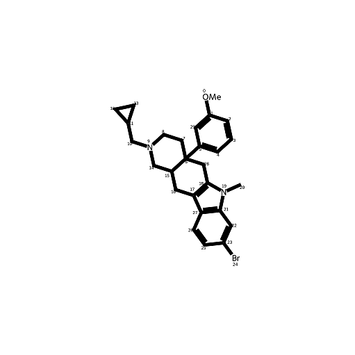 COc1cccc(C23CCN(CC4CC4)CC2Cc2c(n(C)c4cc(Br)ccc24)C3)c1